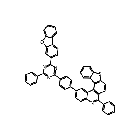 c1ccc(-c2nc(-c3ccc(-c4ccc5nc(-c6ccccc6)c6ccc7sc8ccccc8c7c6c5c4)cc3)nc(-c3ccc4c(c3)oc3ccccc34)n2)cc1